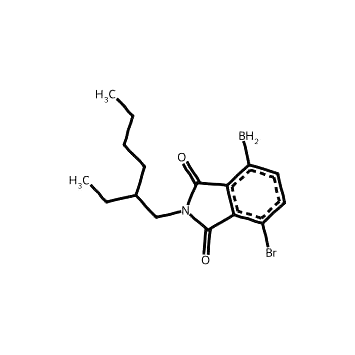 Bc1ccc(Br)c2c1C(=O)N(CC(CC)CCCC)C2=O